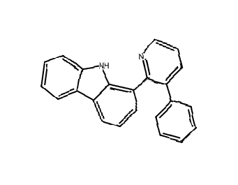 c1ccc(-c2cccnc2-c2cccc3c2[nH]c2ccccc23)cc1